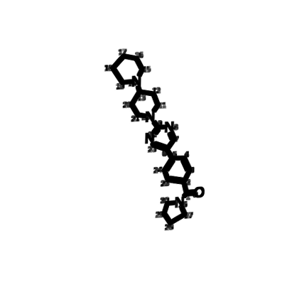 O=C(c1ccc(-c2cnc(N3CCC(N4CCCCC4)CC3)nc2)cc1)N1CCCC1